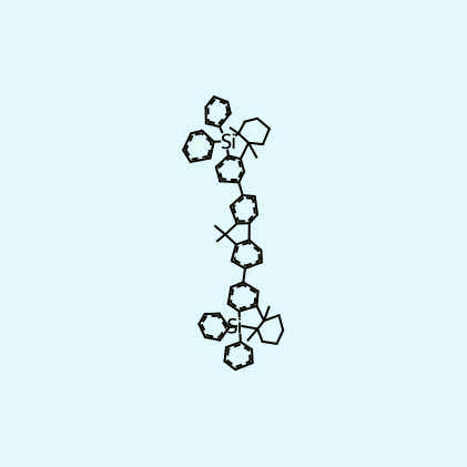 CC1(C)c2cc(-c3ccc4c(c3)C3(C)CCCCC3(C)[Si]4(c3ccccc3)c3ccccc3)ccc2-c2ccc(-c3ccc4c(c3)C3(C)CCCCC3(C)[Si]4(c3ccccc3)c3ccccc3)cc21